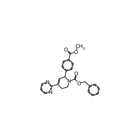 COC(=O)c1ccc(C2C=C(c3ncccn3)CCN2C(=O)OCc2ccccc2)cc1